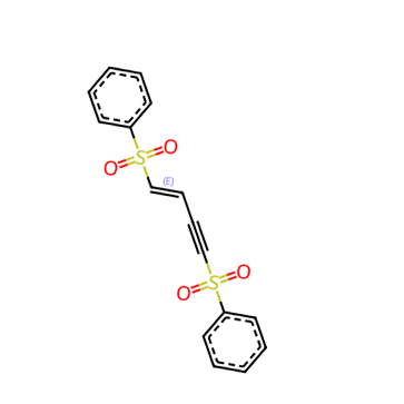 O=S(=O)(C#C/C=C/S(=O)(=O)c1ccccc1)c1ccccc1